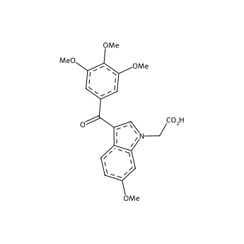 COc1ccc2c(C(=O)c3cc(OC)c(OC)c(OC)c3)cn(CC(=O)O)c2c1